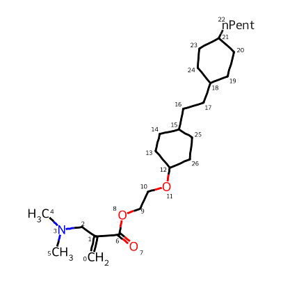 C=C(CN(C)C)C(=O)OCCOC1CCC(CCC2CCC(CCCCC)CC2)CC1